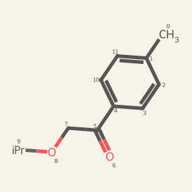 Cc1ccc(C(=O)COC(C)C)cc1